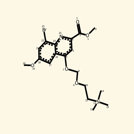 COC(=O)c1cc(OCOCC[Si](C)(C)C)c2cc(OC)cc(Br)c2n1